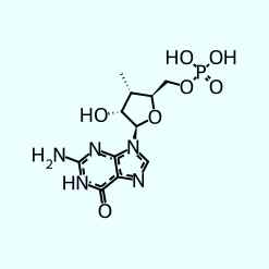 C[C@H]1[C@@H](O)[C@H](n2cnc3c(=O)[nH]c(N)nc32)O[C@@H]1COP(=O)(O)O